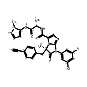 C[C@H](NC(=O)c1cnc2n1[C@](C)(Cc1ccc(C#N)cc1)C(=O)N2c1cc(Cl)cc(Cl)c1)C(=O)Nc1ccnn1C